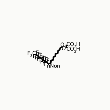 CCCCCCCCCC(CC=CCCCCCCCC(=O)OC(CC(=O)O)C(=O)O)C(F)(F)C(F)(F)C(F)(F)C(F)(F)C(F)(F)C(F)(F)C(F)(F)C(F)(F)F